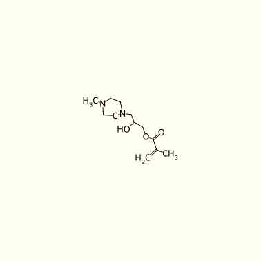 C=C(C)C(=O)OCC(O)CN1CCN(C)CC1